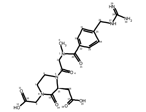 CN(CC(=O)N1CCN(CC(=O)O)C(=O)[C@@H]1CC(=O)O)C(=O)c1ccc(CNC(=N)N)cc1